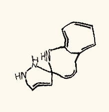 C1=CC2(C=Cc3ccccc3N2)NN1